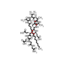 CCCCCCCCCCCCCCCC(=O)N[C@H](C(=O)N[C@H](C(=O)N[C@@H](C)C(=O)N[C@@H](C)C(=O)N[C@@H](CCC(=O)O)C(=O)N[C@@H](CCC(=O)O)C(=O)N[C@@H](CCC(=O)O)C(=O)N[C@@H](CCC(=O)O)C(=O)NCC(=O)NCC(N)=O)C(C)C)C(C)C